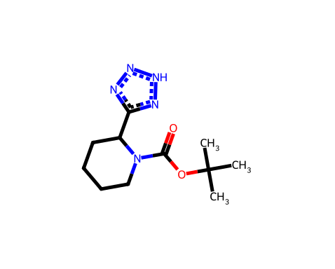 CC(C)(C)OC(=O)N1CCCCC1c1nn[nH]n1